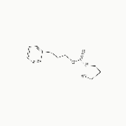 O=C(OCCCc1ccccc1)[C@@H]1CCCN1